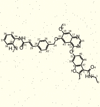 CCNC(=O)c1c(C)oc2cc(Oc3ncnc4cc(OC)c(OCc5ccc(C=CC(=O)Nc6ccccc6N)cc5)cc34)ccc12